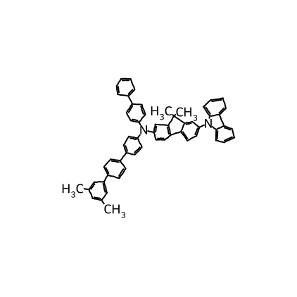 Cc1cc(C)cc(-c2ccc(-c3ccc(N(c4ccc(-c5ccccc5)cc4)c4ccc5c(c4)C(C)(C)c4cc(-n6c7ccccc7c7ccccc76)ccc4-5)cc3)cc2)c1